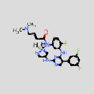 CN(C)C/C=C/C(=O)Nc1ccc(F)c(Nc2nc(Nc3cnn(C)c3)ncc2-c2cc(F)cc(F)c2)c1